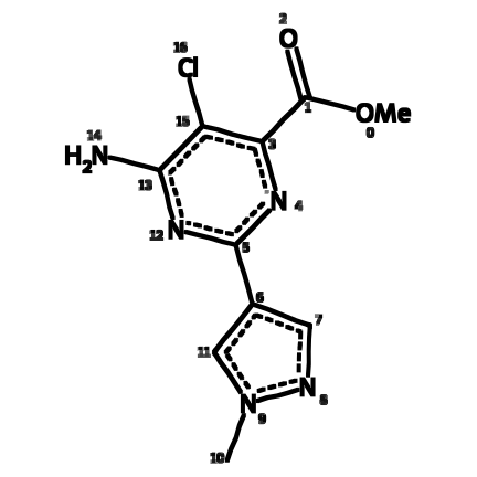 COC(=O)c1nc(-c2cnn(C)c2)nc(N)c1Cl